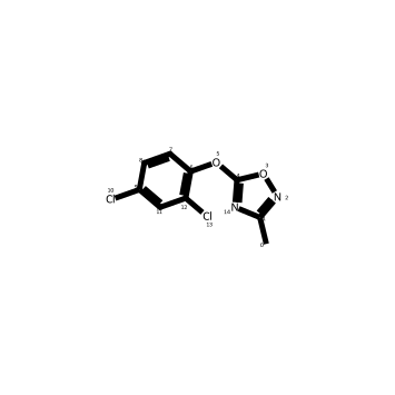 Cc1noc(Oc2ccc(Cl)cc2Cl)n1